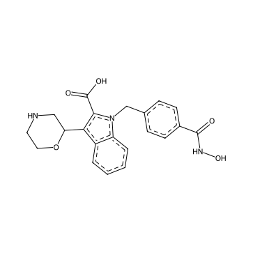 O=C(NO)c1ccc(Cn2c(C(=O)O)c(C3CNCCO3)c3ccccc32)cc1